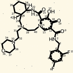 O=C(NCc1ccc(F)cc1F)c1cn2c(c(O)c1=O)C(=O)N[C@H]1CCCC[C@H]1CN(CCN1CCOCC1)CC2